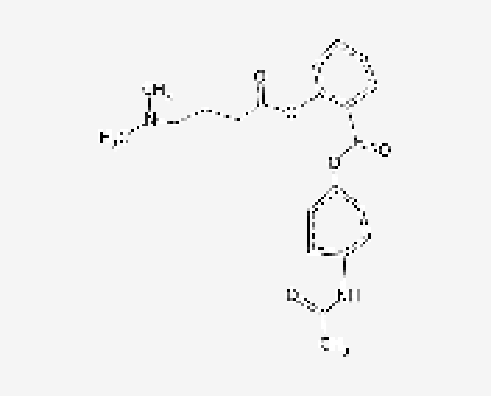 CC(=O)Nc1ccc(OC(=O)c2ccccc2OC(=O)CCCN(C)C)cc1